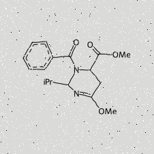 COC(=O)C1CC(OC)=NC(C(C)C)N1C(=O)c1ccccc1